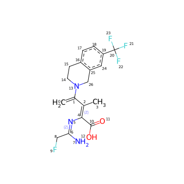 C=C(/C(C)=C(\N=C(/N)CF)C(=O)O)N1CCc2ccc(C(F)(F)F)cc2C1